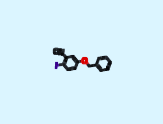 O=Nc1cc(OCc2ccccc2)ccc1I